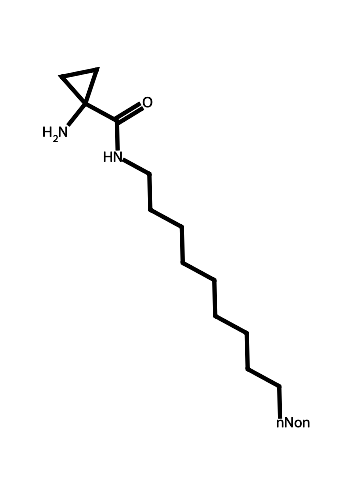 CCCCCCCCCCCCCCCCCCNC(=O)C1(N)CC1